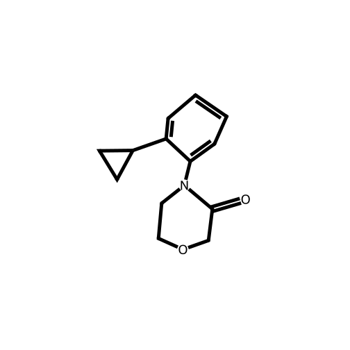 O=C1COCCN1c1ccccc1C1CC1